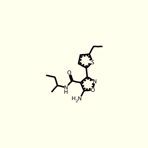 CCc1ccc(-c2noc(N)c2C(=O)NC(C)CC)s1